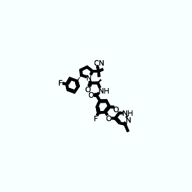 Cc1cc(Oc2c(C)cc(C(=O)N[C@H](C)C(=O)N3C(C(C)(C)C#N)CC[C@H]3c3cccc(F)c3)cc2F)c(=O)[nH]n1